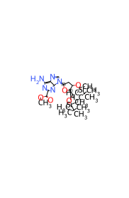 COC(=O)c1nc(N)c2ncn([C@H]3CC(O[Si](C)(C)C(C)(C)C)[C@@H](CO[Si](C)(C)C(C)(C)C)O3)c2n1